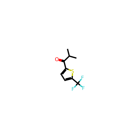 CC(C)C(=O)c1ccc(C(F)(F)F)s1